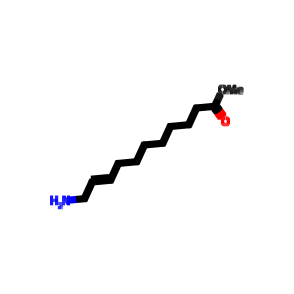 COC(=O)CCCCCCCC=CCN